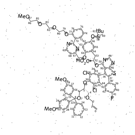 C=CCOC[C@H](COC(c1ccccc1)(c1ccc(OC)cc1)c1ccc(OC)cc1)Oc1c(Cl)c(C)c(-c2c(-c3ccc(F)cc3)sc3ncnc(O[C@H](Cc4cc(O[Si](C)(C)C(C)(C)C)ccc4OCc4ccnc(-c5ccccc5OCCOCCOCCOC)n4)C(=O)O)c23)c(C)c1Cl